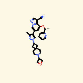 Cc1nn(C2CC3(CCN(C4COC4)CC3)C2)cc1-c1cc(O[C@H](C)c2ccccn2)c2c(C#N)cnn2c1